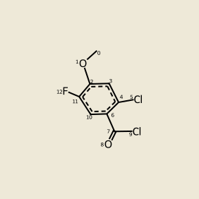 COc1cc(Cl)c(C(=O)Cl)cc1F